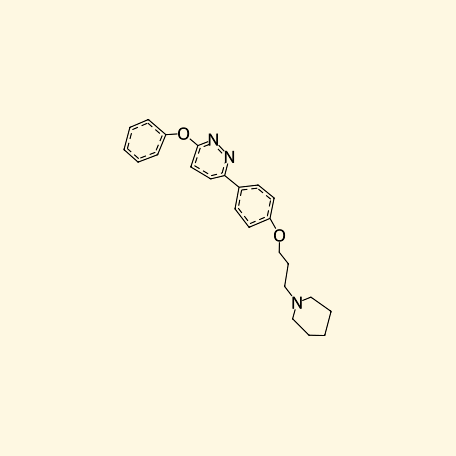 c1ccc(Oc2ccc(-c3ccc(OCCCN4CCCCC4)cc3)nn2)cc1